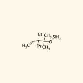 C=CC(CC)(C(C)C)C(C)(C)O[SiH3]